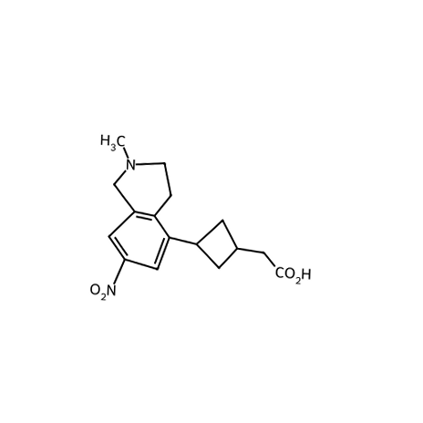 CN1CCc2c(cc([N+](=O)[O-])cc2C2CC(CC(=O)O)C2)C1